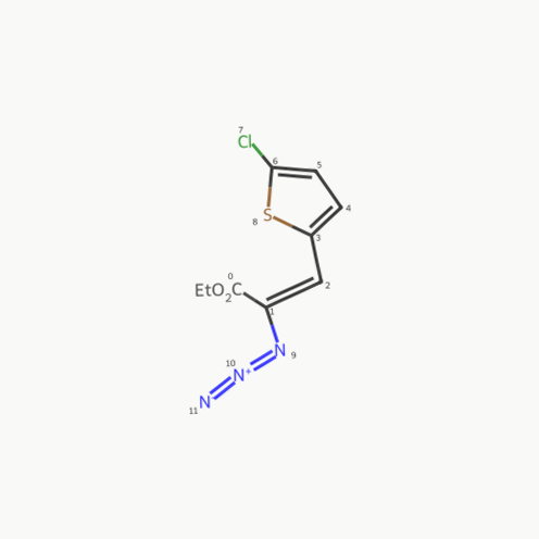 CCOC(=O)/C(=C\c1ccc(Cl)s1)N=[N+]=[N-]